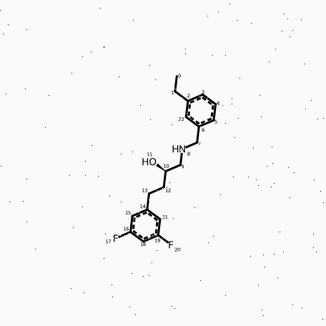 CCc1cccc(CNC[C@H](O)[CH]Cc2cc(F)cc(F)c2)c1